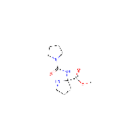 COC(=O)C1(NC(=O)N2CCCC2)CCCN1